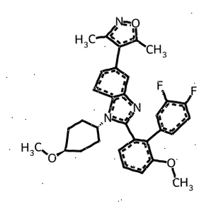 COc1cccc(-c2nc3cc(-c4c(C)noc4C)ccc3n2[C@H]2CC[C@H](OC)CC2)c1-c1ccc(F)c(F)c1